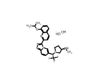 CNC1CCN([C@H](c2ccc3nnc(-c4ccc5cccc(OC(C)C)c5n4)n3c2)C(F)(F)F)C1.Cl.Cl